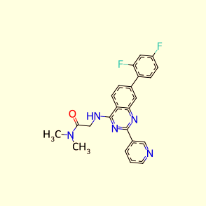 CN(C)C(=O)CNc1nc(-c2cccnc2)nc2cc(-c3ccc(F)cc3F)ccc12